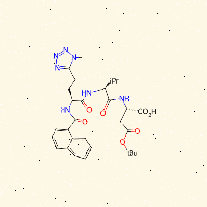 CC(C)[C@H](NC(=O)[C@H](CCc1nnnn1C)NC(=O)c1cccc2ccccc12)C(=O)N[C@@H](CC(=O)OC(C)(C)C)C(=O)O